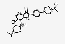 CC(=O)N1CCN(c2ccc(-c3nc4c(NC5CCN(C(C)C)CC5)c(Cl)cnc4[nH]3)cc2)CC1